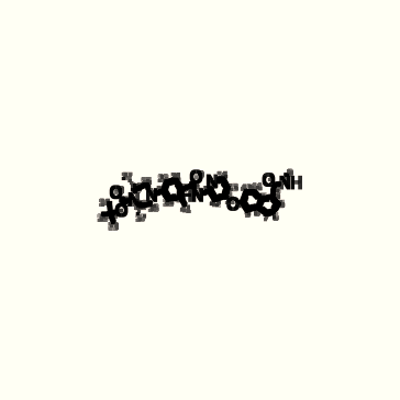 CNC(=O)c1cccc2cc(Oc3ccnc(NC(=O)c4ccc(N5C[C@@H](C)N(C(=O)OC(C)(C)C)[C@@H](C)C5)cc4C)c3)ccc12